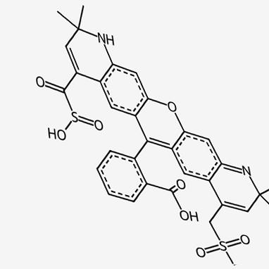 CC1(C)C=C(CS(=O)(=O)O)c2cc3c(cc2=N1)Oc1cc2c(cc1C=3c1ccccc1C(=O)O)C(C(=O)S(=O)O)=CC(C)(C)N2